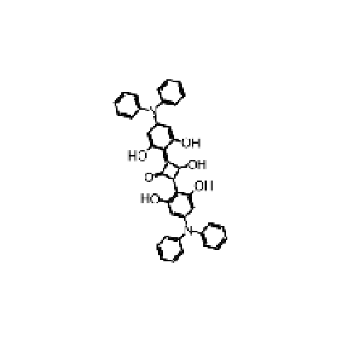 O=C1C(=C2C(O)=CC(N(c3ccccc3)c3ccccc3)C=C2O)C(O)C1c1c(O)cc(N(c2ccccc2)c2ccccc2)cc1O